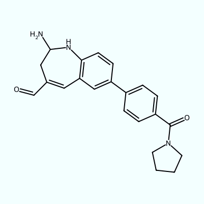 NC1CC(C=O)=Cc2cc(-c3ccc(C(=O)N4CCCC4)cc3)ccc2N1